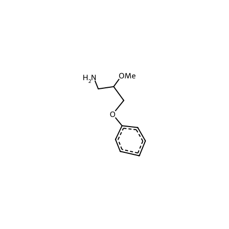 COC(CN)COc1ccccc1